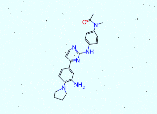 CC(=O)N(C)c1ccc(Nc2nccc(-c3ccc(N4CCCC4)c(N)c3)n2)cc1